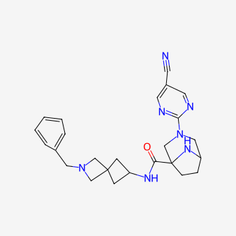 N#Cc1cnc(N2CC3CCC(C(=O)NC4CC5(C4)CN(Cc4ccccc4)C5)(C2)N3)nc1